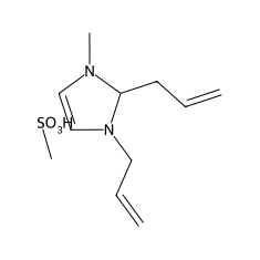 C=CCC1N(C)C=CN1CC=C.CS(=O)(=O)O